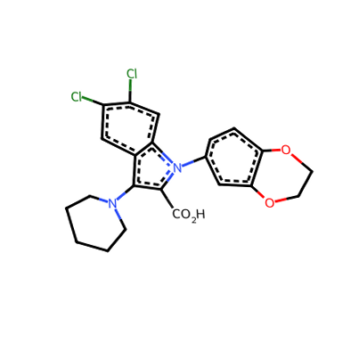 O=C(O)c1c(N2CCCCC2)c2cc(Cl)c(Cl)cc2n1-c1ccc2c(c1)OCCO2